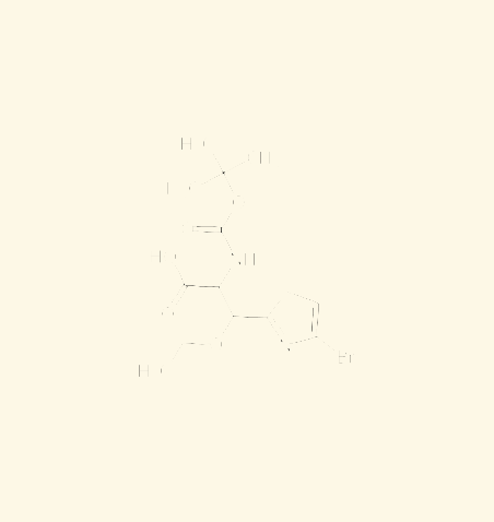 CCOC(c1nc(Br)cs1)C(NC(=O)OC(C)(C)C)C(=O)O